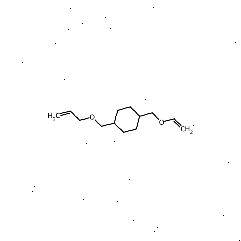 C=CCOCC1CCC(COC=C)CC1